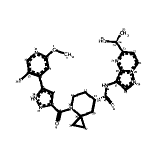 COc1cc(-c2cc(C(=O)N3CC[C@H](C(=O)Nc4cnn5ccc([C@H](C)O)nc45)CC34CC4)n[nH]2)c(F)cn1